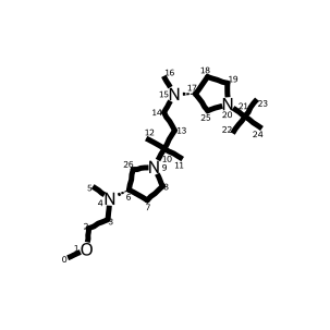 COCCN(C)[C@H]1CCN(C(C)(C)CCN(C)[C@@H]2CCN(C(C)(C)C)C2)C1